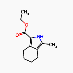 CCOC(=O)c1[nH]c(C)c2c1CCCC2